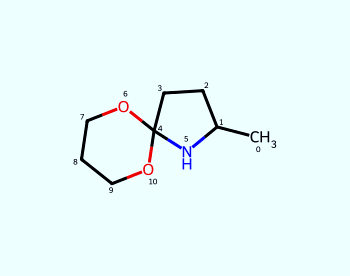 CC1CCC2(N1)OCCCO2